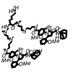 [2H]NCCCCC(NCN(C)CCCN(C)CCCN(C)C(=O)c1ccc(-n2nc(C(=O)NC3(C(=O)O)C4CC5CC(C4)CC3C5)cc2-c2c(OC)cccc2OC)c(C(C)C)c1)C(=O)CN(C)CCCN(C)CCCN(C)C(=O)c1ccc(-n2nc(C(=O)NC3(C(=O)O)C4CC5CC(C4)CC3C5)cc2-c2c(OC)cccc2OC)c(C(C)C)c1